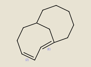 C1=C\CCC2CCCCC\C(=C/1)C2